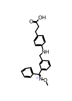 CO/N=C(/c1ccccc1)c1cccc(CNc2ccc(CCC(=O)O)cc2)c1